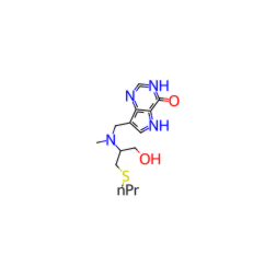 CCCSCC(CO)N(C)Cc1c[nH]c2c(=O)[nH]cnc12